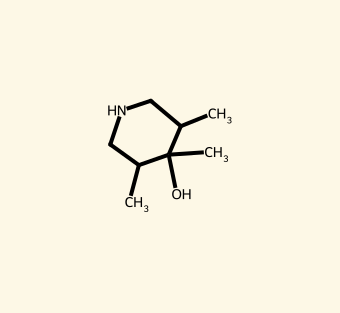 CC1CNCC(C)C1(C)O